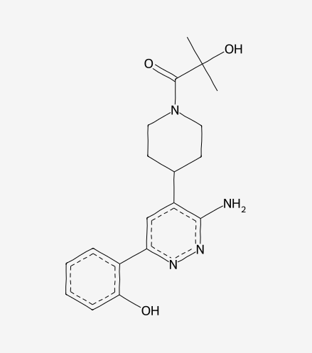 CC(C)(O)C(=O)N1CCC(c2cc(-c3ccccc3O)nnc2N)CC1